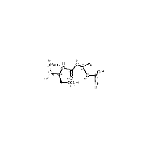 CCC[C@@H](C)[C@@H](C)[C@H](CC(=O)O)NC(=O)O[C@@H](C)OC(=O)CC